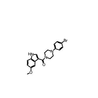 COc1ccc2[nH]cc(C(=O)N3CCN(c4ccc(Br)cc4)CC3)c2c1